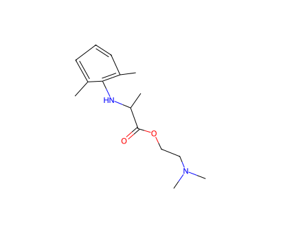 Cc1cccc(C)c1NC(C)C(=O)OCCN(C)C